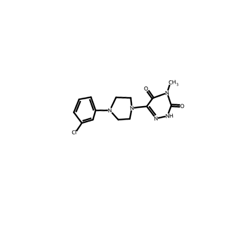 Cn1c(=O)[nH]nc(N2CCN(c3cccc(Cl)c3)CC2)c1=O